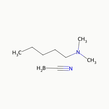 BC#N.CCCCCN(C)C